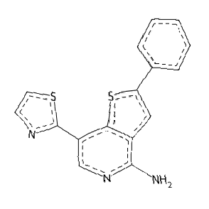 Nc1ncc(-c2nccs2)c2sc(-c3ccccc3)cc12